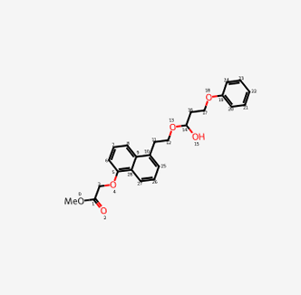 COC(=O)COc1cccc2c(CCOC(O)CCOc3ccccc3)cccc12